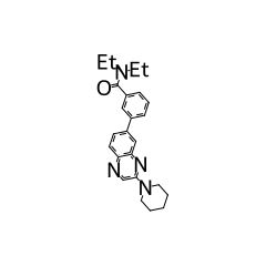 CCN(CC)C(=O)c1cccc(-c2ccc3ncc(N4CCCCC4)nc3c2)c1